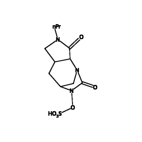 CCCN1CC2CC3CN(C(=O)N3OS(=O)(=O)O)C2C1=O